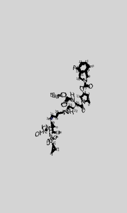 CC1C[C@@H](OC(=O)N2Cc3cccc(F)c3C2)CN1C(=O)[C@H](CCNCC/C=C\[C@@H]1C[C@]1(NC=O)C(=O)NS(=O)(=O)C1CC1)NC(=O)OC(C)(C)C